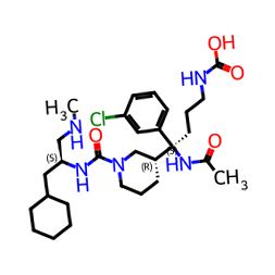 CNC[C@H](CC1CCCCC1)NC(=O)N1CCC[C@@H]([C@](CCCNC(=O)O)(NC(C)=O)c2cccc(Cl)c2)C1